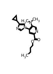 CCCCOC(=O)c1cc(-n2cnc(C3CC3)c2)c(N(C)C)cn1